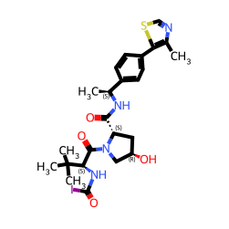 Cc1ncsc1-c1ccc([C@H](C)NC(=O)[C@@H]2C[C@@H](O)CN2C(=O)[C@@H](NC(=O)I)C(C)(C)C)cc1